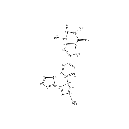 CCCn1c(=O)c2[nH]c(-c3ccc(-n4nc(C(F)(F)F)cc4-c4cccs4)nc3)nc2n(CCC)c1=O